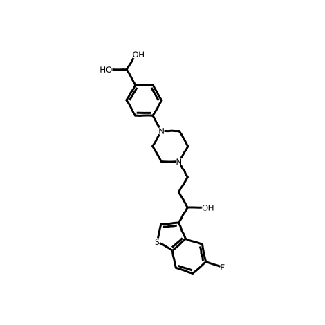 OC(O)c1ccc(N2CCN(CCC(O)c3csc4ccc(F)cc34)CC2)cc1